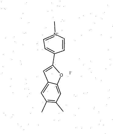 Cc1cc2cc(-c3cc[n+](C)cc3)oc2cc1C.[I-]